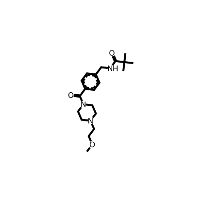 COCCN1CCN(C(=O)c2ccc(CNC(=O)C(C)(C)C)cc2)CC1